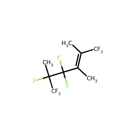 CC(=C(C)C(F)(F)C(C)(F)C(F)(F)F)C(F)(F)F